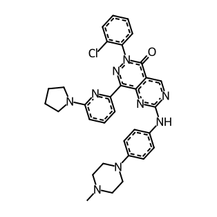 CN1CCN(c2ccc(Nc3ncc4c(=O)n(-c5ccccc5Cl)nc(-c5cccc(N6CCCC6)n5)c4n3)cc2)CC1